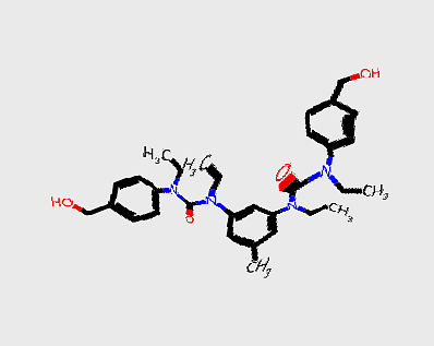 CCN(C(=O)N(CC)c1cc(C)cc(N(CC)C(=O)N(CC)c2ccc(CO)cc2)c1)c1ccc(CO)cc1